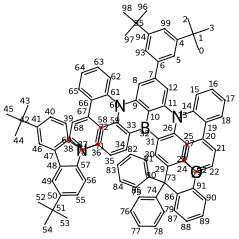 CC(C)(C)c1cc(-c2cc3c4c(c2)N(c2ccccc2-c2ccccc2)c2cc5c(cc2B4c2ccc(-n4c6ccc(C(C)(C)C)cc6c6cc(C(C)(C)C)ccc64)cc2N3c2ccccc2-c2ccccc2)C(c2ccccc2)(c2ccccc2)c2ccccc2O5)cc(C(C)(C)C)c1